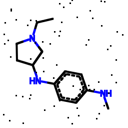 CCN1CCC(Nc2ccc(NC)cc2)C1